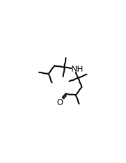 CC(C)CC(C)(C)NC(C)(C)CC(C)C=O